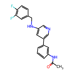 CC(=O)Nc1cccc(-c2cncc(NCc3ccc(F)c(F)c3)c2)c1